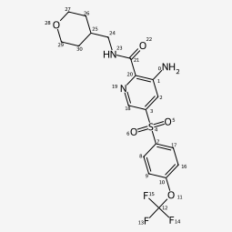 Nc1cc(S(=O)(=O)c2ccc(OC(F)(F)F)cc2)cnc1C(=O)NCC1CCOCC1